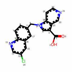 O=C(O)c1cn(Cc2ccc3ncc(Cl)cc3c2)c2ccncc12